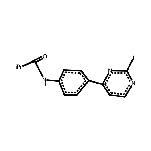 CC(C)C(=O)Nc1ccc(-c2ccnc(I)n2)cc1